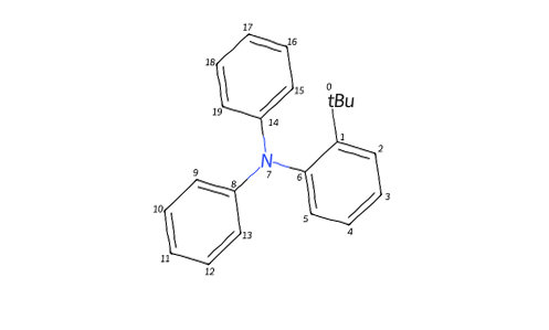 CC(C)(C)c1ccccc1N(c1ccccc1)c1ccccc1